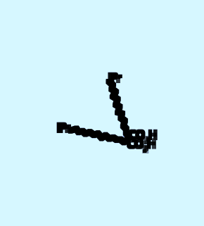 CC(C)CCCCCCCCCCCCCCC/C(C(=O)O)=C(\CCCCCCCCCCCCCCCC(C)C)C(=O)O